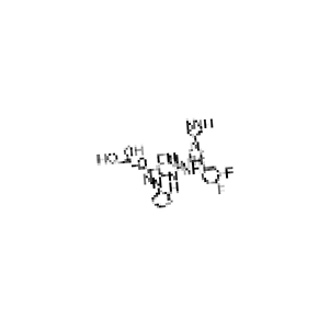 Cc1c(OC[C@H](O)CO)nn(-c2ccccc2)c1NC(=O)N[C@@H]1CN(c2cn[nH]c2)C[C@H]1c1ccc(F)c(F)c1